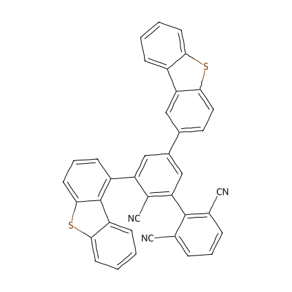 N#Cc1cccc(C#N)c1-c1cc(-c2ccc3sc4ccccc4c3c2)cc(-c2cccc3sc4ccccc4c23)c1C#N